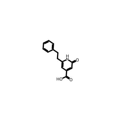 O=C(O)c1cc(CCc2ccccc2)[nH]c(=O)c1